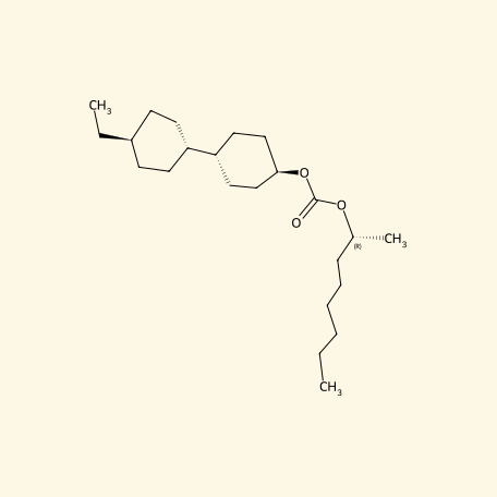 CCCCCC[C@@H](C)OC(=O)O[C@H]1CC[C@H]([C@H]2CC[C@H](CC)CC2)CC1